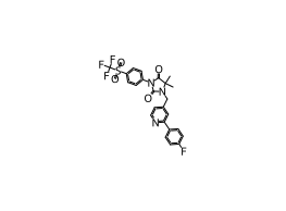 CC1(C)C(=O)N(c2ccc(S(=O)(=O)C(F)(F)F)cc2)C(=O)N1Cc1ccnc(-c2ccc(F)cc2)c1